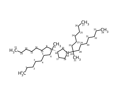 CCCCCCCC(C)(CCCCCCC)[C@H]1CCN(C(C)(CCCCCC)CCCCCCC)C1